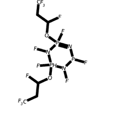 FC(CC(F)(F)F)OP1(F)=NP(F)N(F)[PH](F)(OC(F)CC(F)(F)F)N1F